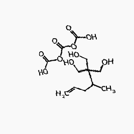 C=CCC(C)C(CO)(CO)CO.O=C(O)OC(=O)OC(=O)O